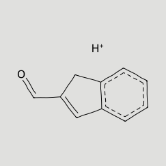 O=CC1=Cc2ccccc2C1.[H+]